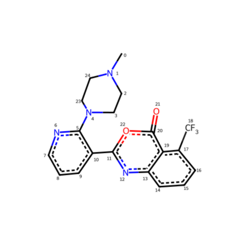 CN1CCN(c2ncccc2-c2nc3cccc(C(F)(F)F)c3c(=O)o2)CC1